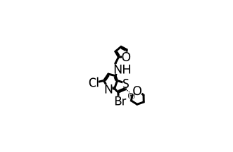 Clc1cc(NCc2ccco2)c2sc([C@H]3CCCCO3)c(Br)c2n1